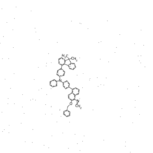 C=Nc1c(OCc2ccccc2)ccc2c(-c3ccc(N(c4ccccc4)c4ccc(-c5cccc6c5-c5ccccc5C6(C)C)cc4)cc3)cccc12